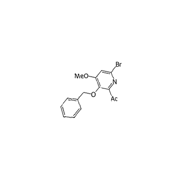 COc1cc(Br)nc(C(C)=O)c1OCc1ccccc1